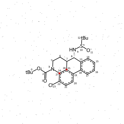 CC(C)(C)OC(=O)N1CCC([C@H](N[S+]([O-])C(C)(C)C)c2ccccc2-c2ccc(Cl)cc2)CC1